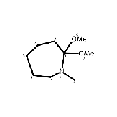 COC1(OC)CCCCCN1C